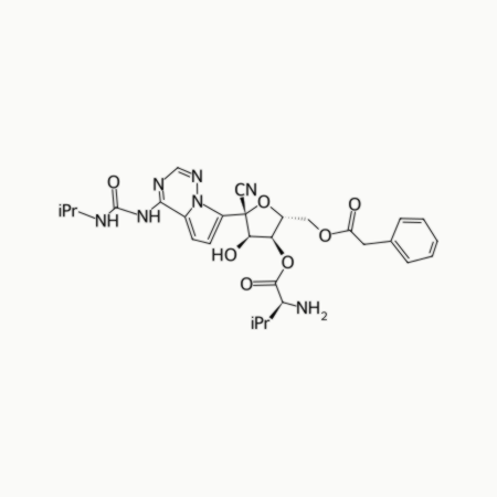 CC(C)NC(=O)Nc1ncnn2c([C@]3(C#N)O[C@H](COC(=O)Cc4ccccc4)[C@@H](OC(=O)[C@@H](N)C(C)C)[C@H]3O)ccc12